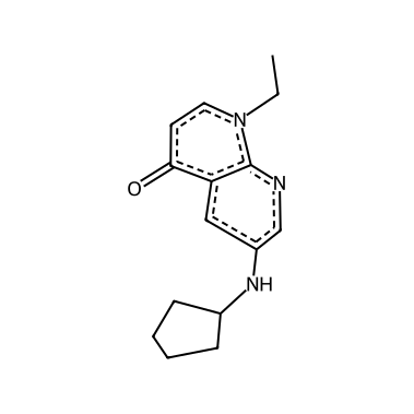 CCn1ccc(=O)c2cc(NC3CCCC3)cnc21